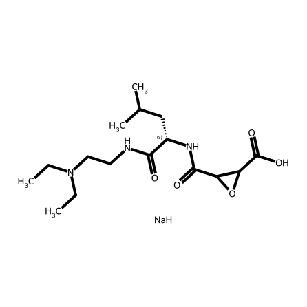 CCN(CC)CCNC(=O)[C@H](CC(C)C)NC(=O)C1OC1C(=O)O.[NaH]